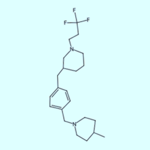 CC1CCN(Cc2ccc(CC3CCCN(CCC(F)(F)F)C3)cc2)CC1